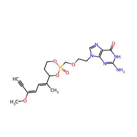 C#C/C(=C\C=C(/C)C1CCOP(=O)(COCCn2cnc3c(=O)[nH]c(N)nc32)O1)OC